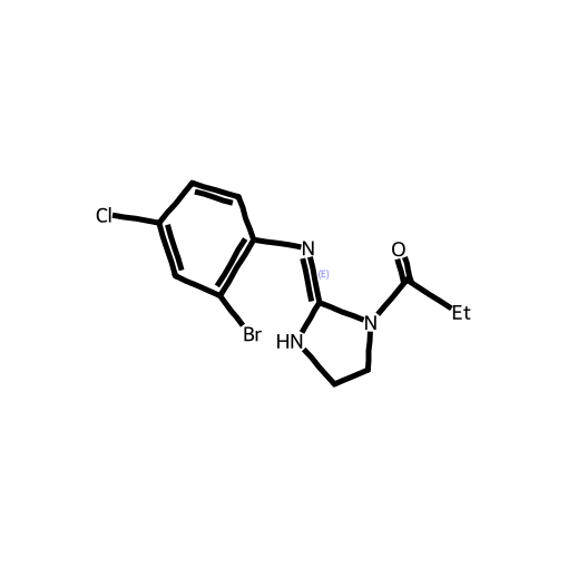 CCC(=O)N1CCN/C1=N\c1ccc(Cl)cc1Br